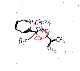 C=C(C)C(=O)OC(C)(C)c1ccccc1.CC